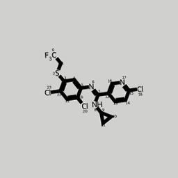 FC(F)(F)CSc1cc(/N=C(\NC2CC2)c2ccc(Cl)nc2)c(Cl)cc1Cl